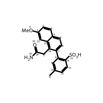 COc1ccc2ccc(-c3cc(C)ccc3S(=O)(=O)O)c(CC(N)=O)c2c1